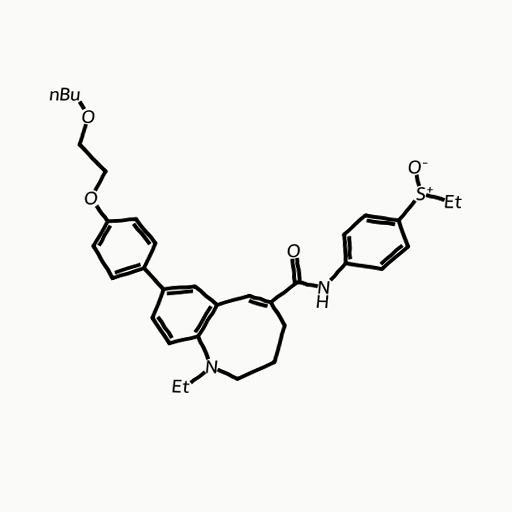 CCCCOCCOc1ccc(-c2ccc3c(c2)/C=C(/C(=O)Nc2ccc([S+]([O-])CC)cc2)CCCN3CC)cc1